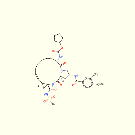 CCC(C)S(=O)(=O)NC(=O)[C@@]12C[C@H]1/C=C\CCCCC[C@H](NC(=O)OC1CCCC1)C(=O)N1C[C@H](NC(=O)c3ccc(OC)c(C(F)(F)F)c3)C[C@H]1C(=O)N2